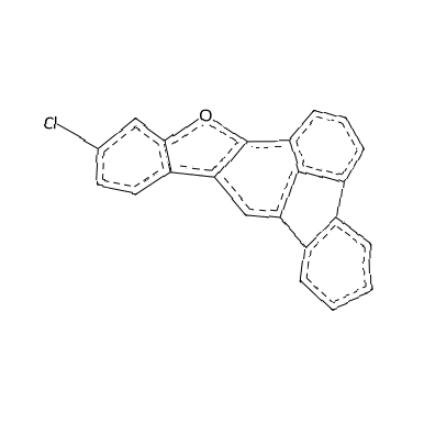 Clc1ccc2c(c1)oc1c3cccc4c3c(cc21)-c1ccccc1-4